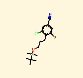 CC(C)(C)[Si](C)(C)OCCCc1c(Cl)cc(C#N)cc1Br